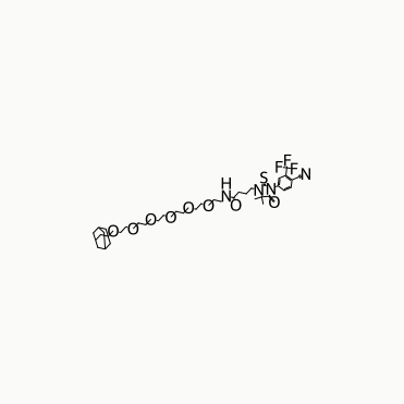 CC1(C)C(=O)N(c2ccc(C#N)c(C(F)(F)F)c2)C(=S)N1CCCC(=O)NCCOCCOCCOCCOCCOCCOC12CC3CC(CC(C3)C1)C2